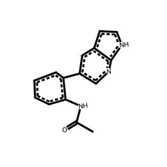 CC(=O)Nc1ccccc1-c1[c]c2cc[nH]c2nc1